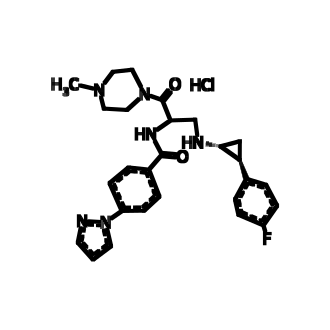 CN1CCN(C(=O)C(CN[C@@H]2C[C@H]2c2ccc(F)cc2)NC(=O)c2ccc(-n3cccn3)cc2)CC1.Cl